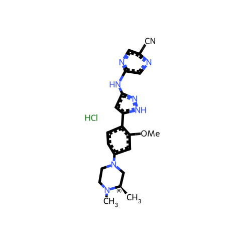 COc1cc(N2CCN(C)[C@H](C)C2)ccc1-c1cc(Nc2cnc(C#N)cn2)n[nH]1.Cl